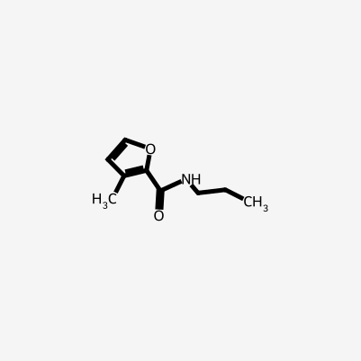 CCCNC(=O)c1occc1C